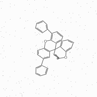 c1ccc(-c2ccc3c(c2)C2(c4ccccc4Oc4ccccc42)c2cccc(-c4ccccc4)c2O3)cc1